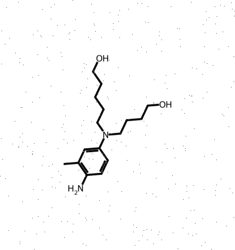 Cc1cc(N(CCCCO)CCCCCO)ccc1N